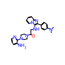 CN(C)c1ccc(-c2nc3ccccn3c2NCC(=O)N2CCN(c3ncccc3N)CC2)cc1